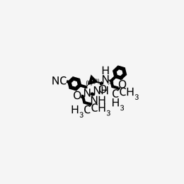 CC1(C)CC(=O)N(C(c2ccc(C#N)cc2)[C@@H]2C[C@H]2C(=O)N[C@H]2CC(C)(C)Oc3ccccc32)C(=N)N1